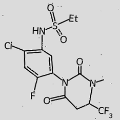 CCS(=O)(=O)Nc1cc(N2C(=O)CC(C(F)(F)F)N(C)C2=O)c(F)cc1Cl